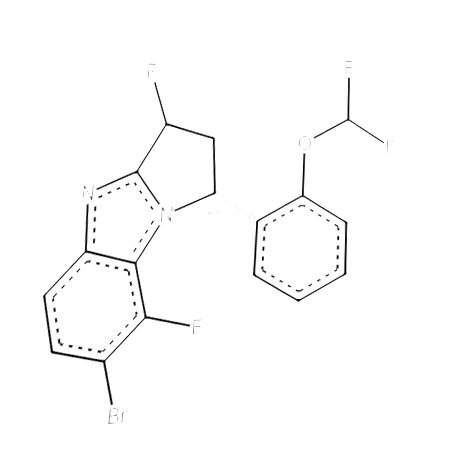 Fc1c(Br)ccc2nc3n(c12)[C@@H](c1ccccc1OC(F)F)CC3F